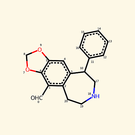 O=Cc1c2c(cc3c1OCO3)C(c1ccccc1)CNCC2